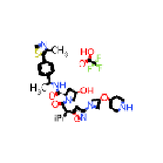 Cc1ncsc1-c1ccc(C(C)NC(=O)[C@@H]2C[C@@H](O)CN2C(=O)C(c2cc(N3CC(OC4CCNCC4)C3)no2)C(C)C)cc1.O=C(O)C(F)(F)F